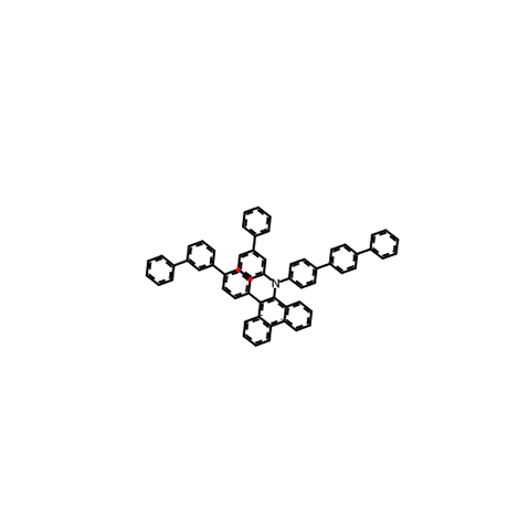 c1ccc(-c2ccc(-c3ccc(N(c4cccc(-c5ccccc5)c4)c4c(-c5ccc(-c6cccc(-c7ccccc7)c6)cc5)c5ccccc5c5ccccc45)cc3)cc2)cc1